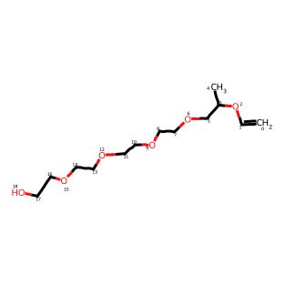 C=COC(C)COCCOCCOCCOCCO